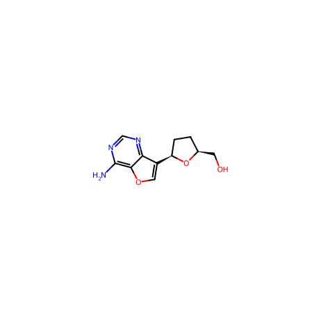 Nc1ncnc2c([C@H]3CC[C@@H](CO)O3)coc12